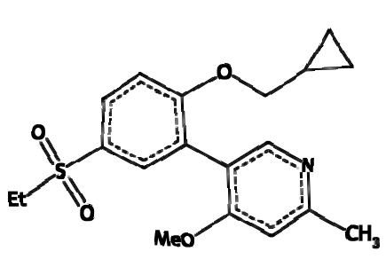 CCS(=O)(=O)c1ccc(OCC2CC2)c(-c2cnc(C)cc2OC)c1